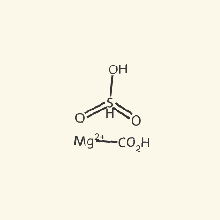 O=[C](O)[Mg+2].O=[SH](=O)O